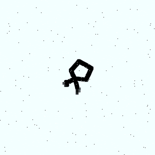 FC1([S])CCCC1